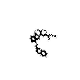 COC(=O)CCC(C(N)=O)N1Cc2c(OCc3ccc4ccccc4n3)cccc2C1=O